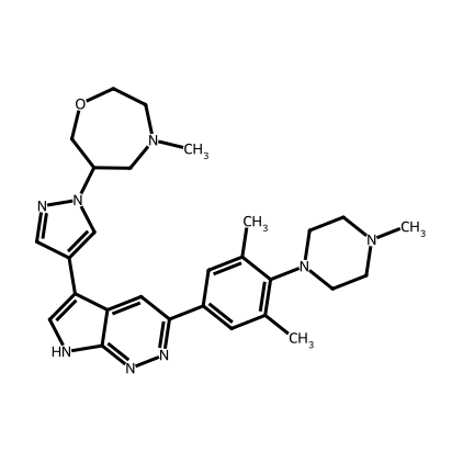 Cc1cc(-c2cc3c(-c4cnn(C5COCCN(C)C5)c4)c[nH]c3nn2)cc(C)c1N1CCN(C)CC1